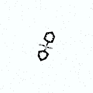 C[C](C)(C)[SbH]([c]1ccccc1)([c]1ccccc1)[C](C)(C)C